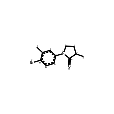 Cc1cc(N2CCC(C)C2=O)ccc1Br